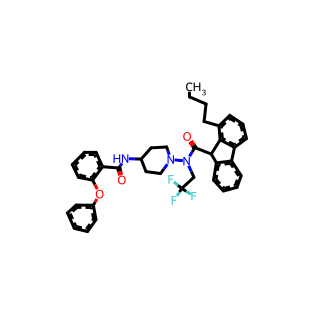 CCCCc1cccc2c1C(C(=O)N(CC(F)(F)F)N1CCC(NC(=O)c3ccccc3Oc3ccccc3)CC1)c1ccccc1-2